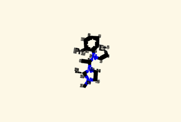 C=C(N(/C=C\CC)c1ccccc1C(C)C)N1C=CN(C)[C@@H]1C